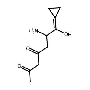 CC(=O)CC(=O)CC(N)C(O)=C1CC1